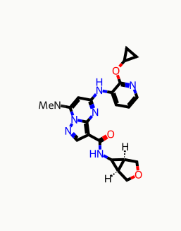 CNc1cc(Nc2cccnc2OC2CC2)nc2c(C(=O)NC3[C@H]4COC[C@@H]34)cnn12